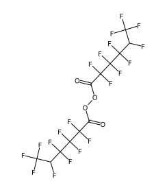 O=C(OOC(=O)C(F)(F)C(F)(F)C(F)(F)C(F)C(F)(F)F)C(F)(F)C(F)(F)C(F)(F)C(F)C(F)(F)F